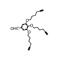 C#CCCCCOc1cc(C=O)cc(OCCCCC#C)c1OCCCCC#C